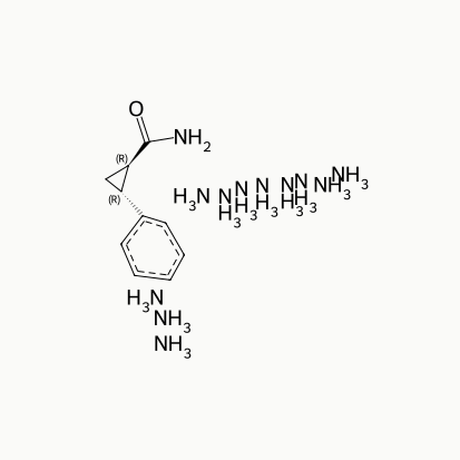 N.N.N.N.N.N.N.N.N.N.N.NC(=O)[C@@H]1C[C@H]1c1ccccc1